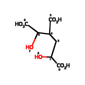 O=C(O)C(O)CC(C(=O)O)C(O)C(=O)O